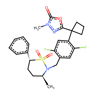 C[C@H]1CC[C@H](c2ccccc2)S(=O)(=O)N1Cc1cc(F)c(C2(c3nn(C)c(=O)o3)CCC2)cc1F